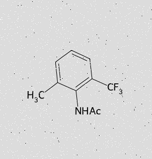 CC(=O)Nc1c(C)cccc1C(F)(F)F